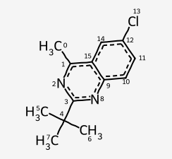 Cc1nc(C(C)(C)C)nc2ccc(Cl)cc12